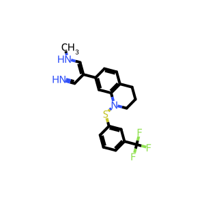 CN/C=C(\C=N)c1ccc2c(c1)N(Sc1cccc(C(F)(F)F)c1)CCC2